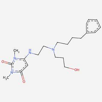 Cn1c(NCCN(CCCO)CCCCc2ccccc2)cc(=O)n(C)c1=O